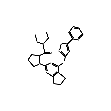 CCN(CC)C(=O)C1CCCN1c1nc2c(c(Nc3cc(-c4ccccn4)[nH]n3)n1)CCC2